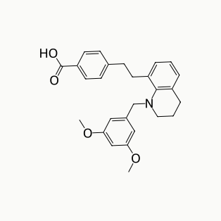 COc1cc(CN2CCCc3cccc(CCc4ccc(C(=O)O)cc4)c32)cc(OC)c1